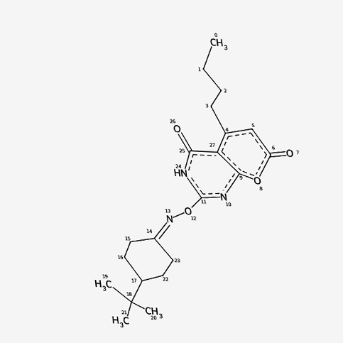 CCCCc1cc(=O)oc2nc(ON=C3CCC(C(C)(C)C)CC3)[nH]c(=O)c12